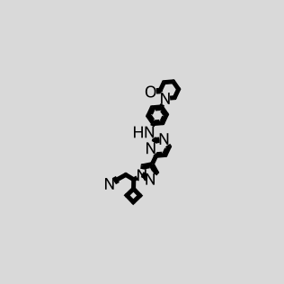 N#CCC(C1CCC1)n1cc(-c2ccnc(Nc3ccc(N4CCCCC4=O)cc3)n2)cn1